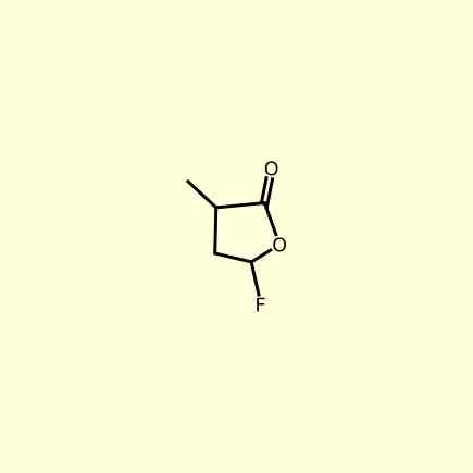 CC1CC(F)OC1=O